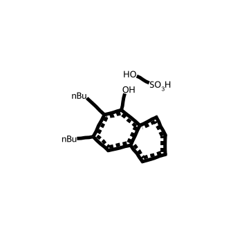 CCCCc1cc2ccccc2c(O)c1CCCC.O=S(=O)(O)O